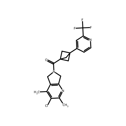 Cc1nc2c(c(C)c1Cl)CN(C(=O)C13CC(c4ccnc(C(F)(F)F)c4)(C1)C3)C2